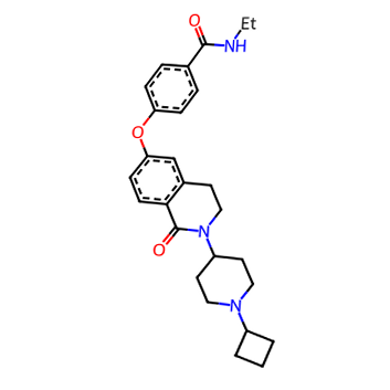 CCNC(=O)c1ccc(Oc2ccc3c(c2)CCN(C2CCN(C4CCC4)CC2)C3=O)cc1